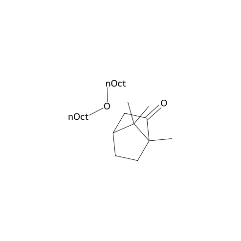 CC12CCC(CC1=O)C2(C)C.CCCCCCCCOCCCCCCCC